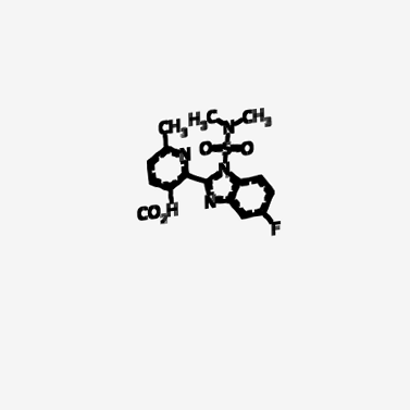 Cc1ccc(C(=O)O)c(-c2nc3cc(F)ccc3n2S(=O)(=O)N(C)C)n1